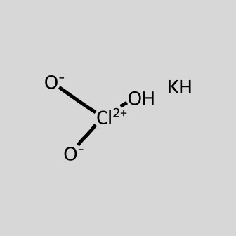 [KH].[O-][Cl+2]([O-])O